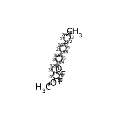 CCOc1cc2c(c(F)c1F)OC(c1ccc(C3CCC(C4CCC(C)CC4)CC3)cc1)CC2